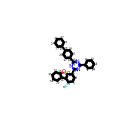 Fc1ccc(-c2nc(-c3ccccc3)nc(-c3ccc(-c4ccccc4)cc3)n2)c2oc3ccccc3c12